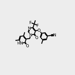 Cc1cc(C#N)cc(Oc2c(C(C)(F)F)ncn(Cc3c(C)cc(C)[nH]c3=O)c2=O)c1